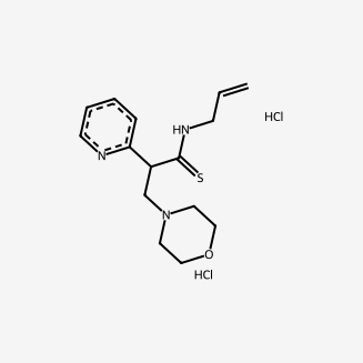 C=CCNC(=S)C(CN1CCOCC1)c1ccccn1.Cl.Cl